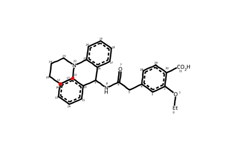 CCOc1cc(CC(=O)NC(c2ccccc2)c2ccccc2N2CCCCC2)ccc1C(=O)O